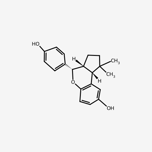 CC1(C)CC[C@H]2[C@@H](c3ccc(O)cc3)Oc3ccc(O)cc3[C@H]21